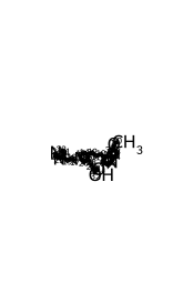 COc1ccc2nccc(CCCC3CCN(CCCc4ccncn4)CC3CCC(=O)O)c2c1